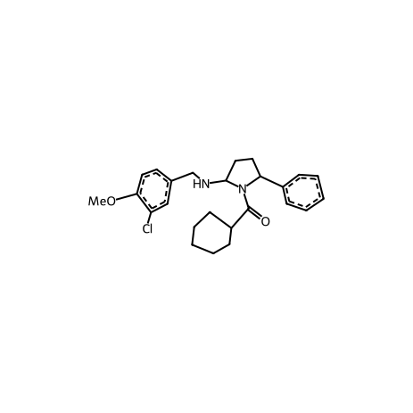 COc1ccc(CNC2CCC(c3ccccc3)N2C(=O)C2CCCCC2)cc1Cl